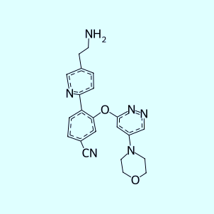 N#Cc1ccc(-c2ccc(CCN)cn2)c(Oc2cc(N3CCOCC3)cnn2)c1